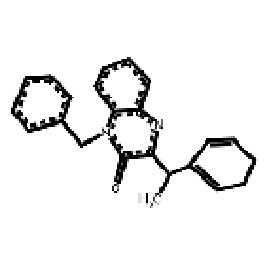 CC(C1=CCCC=C1)c1nc2ccccc2n(Cc2ccccc2)c1=O